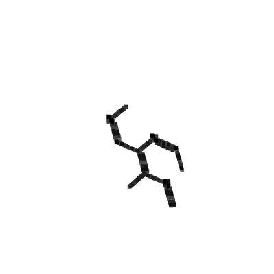 C=N/C(C)=C(/C=N\C)\N=C/C